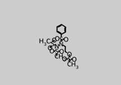 CS(=O)(=O)OCCN(N(S(C)(=O)=O)S(C)(=O)=O)S(=O)(=O)c1ccccc1